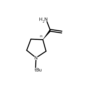 C=C(N)[C@@H]1CCN(C(C)(C)C)C1